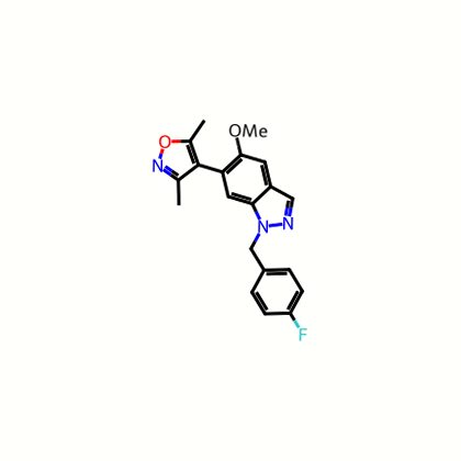 COc1cc2cnn(Cc3ccc(F)cc3)c2cc1-c1c(C)noc1C